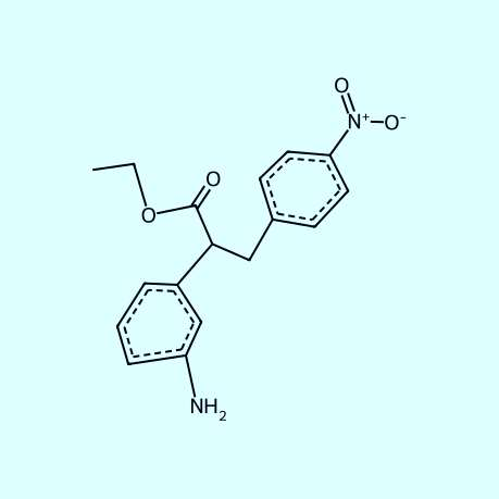 CCOC(=O)C(Cc1ccc([N+](=O)[O-])cc1)c1cccc(N)c1